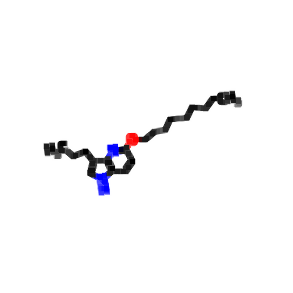 CCCCCCCCCOc1ccc2[nH]cc(CCC)c2n1